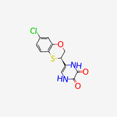 O=c1[nH]cc([C@@H]2COc3cc(Cl)ccc3S2)[nH]c1=O